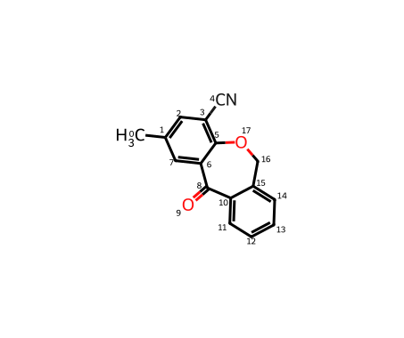 Cc1cc(C#N)c2c(c1)C(=O)c1ccccc1CO2